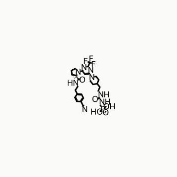 N#Cc1ccc(CCNC(=O)[C@@H]2CCCN2c2cc(N3CCC(CCNC(=O)NCP(=O)(O)O)CC3)nc(C(F)(F)F)n2)cc1